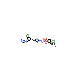 O=[N+]([O-])c1cc(S(=O)(=O)N2CCN(c3ccc(C=Cc4cc(Cl)cc(Cn5ccnc5)c4)cc3)CC2)ccc1Cl